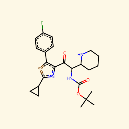 CC(C)(C)OC(=O)NC(C(=O)c1nc(C2CC2)sc1-c1ccc(F)cc1)C1CCCCN1